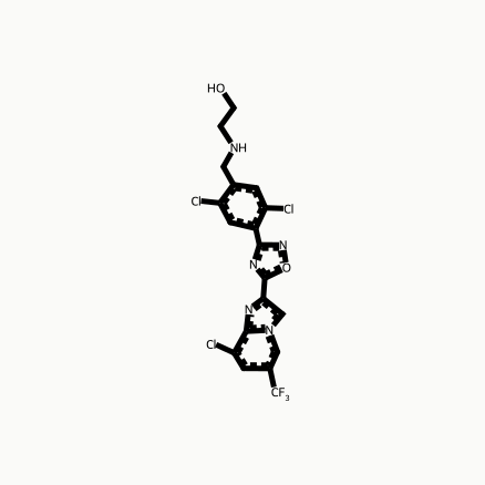 OCCNCc1cc(Cl)c(-c2noc(-c3cn4cc(C(F)(F)F)cc(Cl)c4n3)n2)cc1Cl